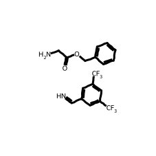 N=Cc1cc(C(F)(F)F)cc(C(F)(F)F)c1.NCC(=O)OCc1ccccc1